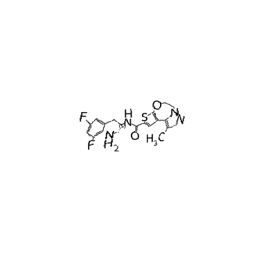 Cc1cnn2c1-c1cc(C(=O)N[C@H](CN)Cc3cc(F)cc(F)c3)sc1OCC2